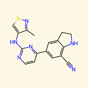 Cc1nscc1Nc1nccc(-c2cc(C#N)c3c(c2)CCN3)n1